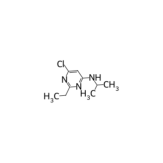 CCc1nc(Cl)cc(NC(C)C)n1